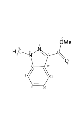 COC(=O)c1nn(C)c2ccccc12